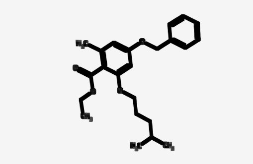 CCOC(=O)c1c(C)cc(OCc2ccccc2)cc1OCCCC(C)C